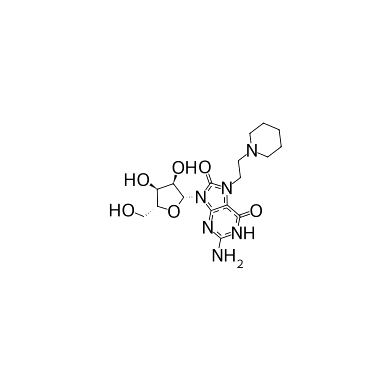 Nc1nc2c(c(=O)[nH]1)n(CCN1CCCCC1)c(=O)n2[C@@H]1O[C@H](CO)[C@@H](O)[C@H]1O